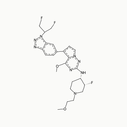 COCCN1CC[C@H](Nc2nc(OC)c3c(-c4ccc5nnn(C(CF)CF)c5c4)ccn3n2)[C@H](F)C1